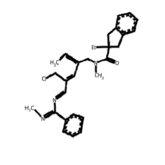 C\C=C(/C=C(/C=N/C(=N\C)c1ccccc1)CCl)CN(C)C(=O)C1(CC)Cc2ccccc2C1